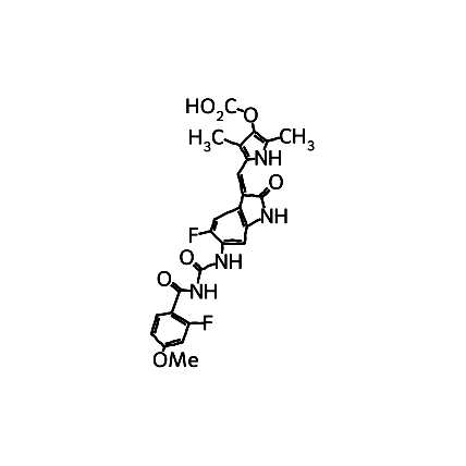 COc1ccc(C(=O)NC(=O)Nc2cc3c(cc2F)/C(=C/c2[nH]c(C)c(OC(=O)O)c2C)C(=O)N3)c(F)c1